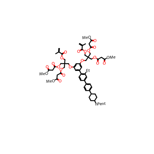 C=C(C)C(=O)OCC(COC(=O)CC(=O)OC)(COC(=O)CC(=O)OC)COc1cc(OCC(COC(=O)CC(=O)OC)(COC(=O)CC(=O)OC)COC(=O)C(=C)C)cc(-c2ccc(-c3ccc(C4CCC(CCCCC)CC4)cc3)cc2CC)c1